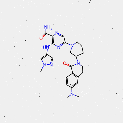 CN(C)c1ccc2c(c1)CCN(C1CCCN(c3cnc(C(N)=O)c(Nc4cnn(C)c4)n3)C1)C2=O